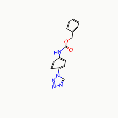 O=C(Nc1ccc(-n2cnnn2)cc1)OCc1ccccc1